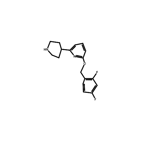 Fc1ccc(COc2cccc(C3CCNCC3)n2)c(F)c1